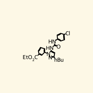 CCCCc1cc(NC(=O)Nc2ccc(Cl)cc2)n(-c2cccc(C(=O)OCC)c2)n1